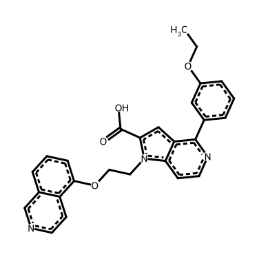 CCOc1cccc(-c2nccc3c2cc(C(=O)O)n3CCOc2cccc3cnccc23)c1